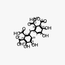 O=C(O)c1c(Cc2cc(O)c(O)c(C(=O)O)c2C(=O)O)cc(O)c(O)c1C(=O)O